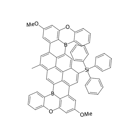 COc1cc2c3c(c1)-c1cc(C)c4cc5c6c(cc([Si](c7ccccc7)(c7ccccc7)c7ccccc7)c7cc(c1c4c76)B3c1ccccc1O2)-c1cc(OC)cc2c1B5c1ccccc1O2